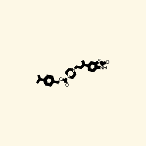 C=C(CCN1CCN(C(=O)OCc2ccc(C(C)C)cc2)CC1)c1ccc2[nH]c(=O)sc2c1